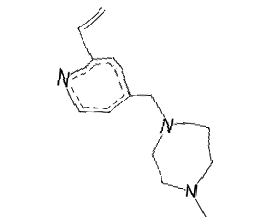 C=Cc1cc(CN2CCN(C)CC2)ccn1